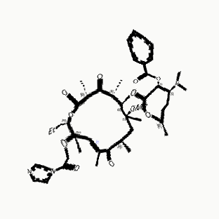 CC[C@H]1OC(=O)[C@H](C)C(=O)[C@H](C)[C@@H](OC2O[C@H](C)C[C@H](N(C)C)[C@H]2OC(=O)c2ccccc2)[C@@](C)(OC)C[C@@H](C)C(=O)/C(C)=C/[C@]1(C)OC(=O)n1ccnc1